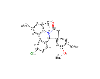 CC[C@@H](C)Oc1cc2c(cc1OC)CC(=O)N(c1ccc(OC)cc1C)C2c1ccc(Cl)cc1